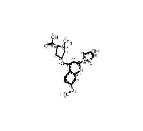 COc1ccc2c(O[C@@H]3C[C@@H](C(=O)O)N(C)C3)cc(-n3cccn3)nc2c1.Cl